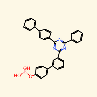 OB(O)Oc1ccc(-c2cccc(-c3nc(-c4ccccc4)nc(-c4ccc(-c5ccccc5)cc4)n3)c2)cc1